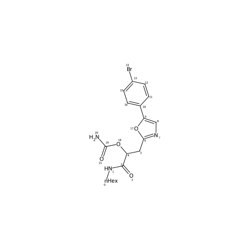 CCCCCCNC(=O)C(Cc1ncc(-c2ccc(Br)cc2)o1)OC(N)=O